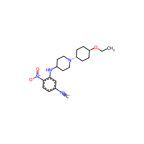 [C-]#[N+]c1ccc([N+](=O)[O-])c(NC2CCN([C@H]3CC[C@H](OCC)CC3)CC2)c1